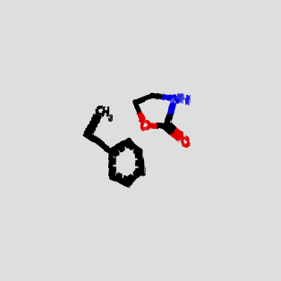 C=Cc1ccccc1.O=C1NCCO1